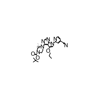 CCCOc1cn(-c2cc(C#N)ccn2)c2ncnc(N3CCN(C(=O)OC(C)(C)C)C[C@@H]3C)c12